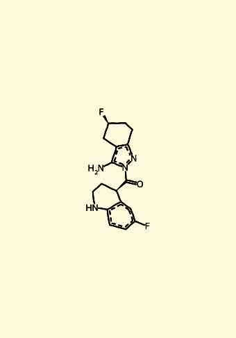 Nc1c2c(nn1C(=O)[C@@H]1CCNc3ccc(F)cc31)CC[C@H](F)C2